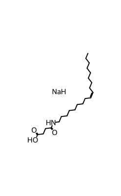 CCCCCCCC/C=C\CCCCCCCCNC(=O)CCC(=O)O.[NaH]